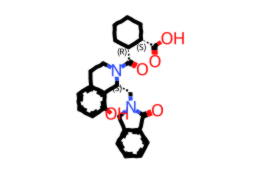 O=C(O)[C@H]1CCCC[C@H]1C(=O)N1CCc2cccc(O)c2[C@H]1CN1Cc2ccccc2C1=O